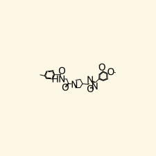 COc1ccc(-c2noc(C3CCN(C(=O)CNC(=O)c4ccc(C)cc4)CC3)n2)cc1OC